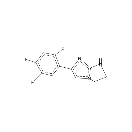 Fc1cc(F)c(-c2[c]n3c(n2)NCC3)cc1F